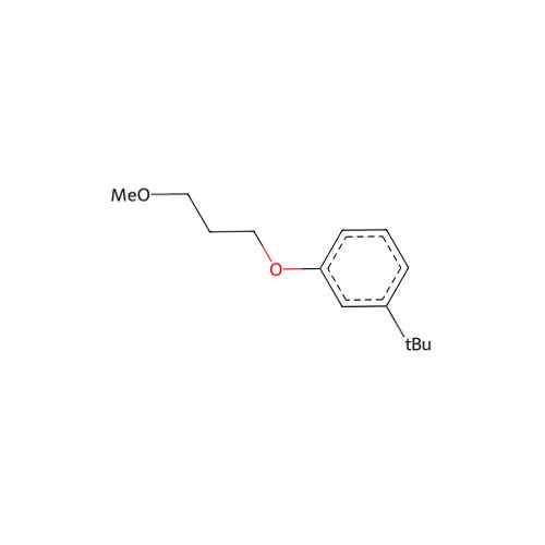 COCCCOc1cccc(C(C)(C)C)c1